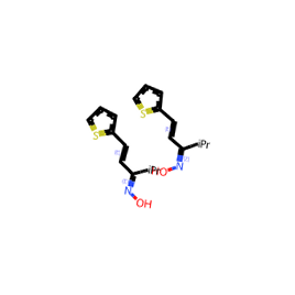 CC(C)C(/C=C/c1cccs1)=N/O.CC(C)C(/C=C/c1cccs1)=N\O